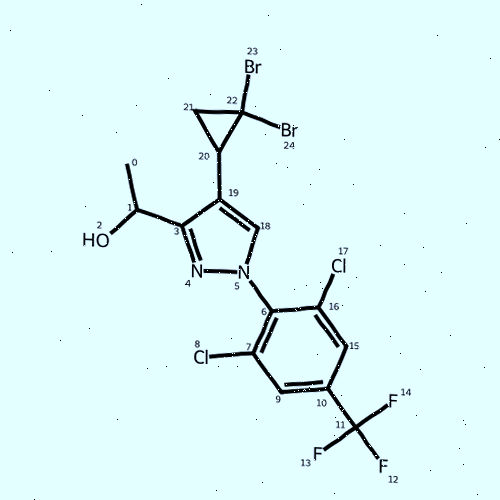 CC(O)c1nn(-c2c(Cl)cc(C(F)(F)F)cc2Cl)cc1C1CC1(Br)Br